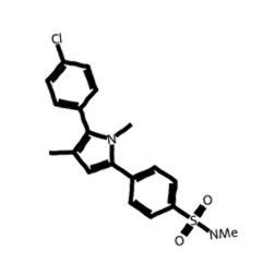 CNS(=O)(=O)c1ccc(-c2cc(C)c(-c3ccc(Cl)cc3)n2C)cc1